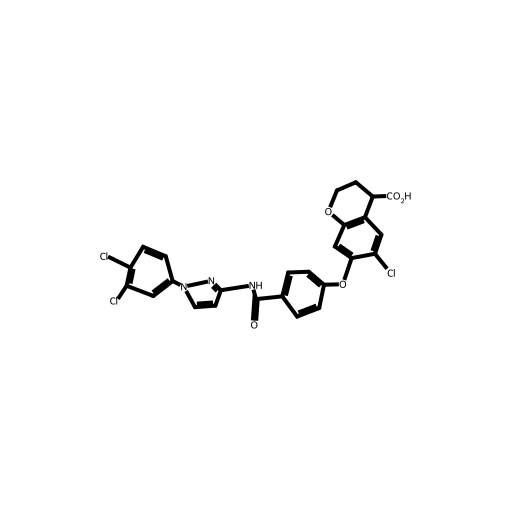 O=C(Nc1ccn(-c2ccc(Cl)c(Cl)c2)n1)c1ccc(Oc2cc3c(cc2Cl)C(C(=O)O)CCO3)cc1